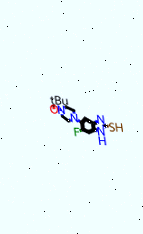 CC(C)(C)ON1CCN(c2cc3nc(S)[nH]c3cc2F)CC1